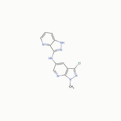 Cn1nc(Cl)c2cc(Nc3n[nH]c4cccnc34)cnc21